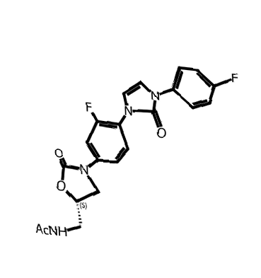 CC(=O)NC[C@H]1CN(c2ccc(-n3ccn(-c4ccc(F)cc4)c3=O)c(F)c2)C(=O)O1